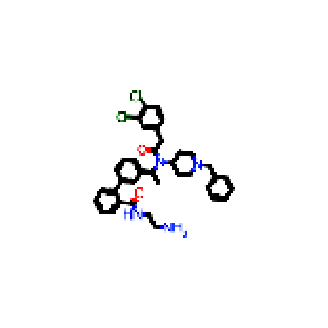 CC(c1cccc(-c2ccccc2C(=O)NCCN)c1)N(C(=O)Cc1ccc(Cl)c(Cl)c1)C1CCN(Cc2ccccc2)CC1